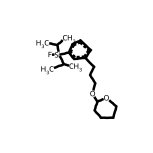 CC(C)[Si](F)(c1cccc(CCCOC2CCCCO2)c1)C(C)C